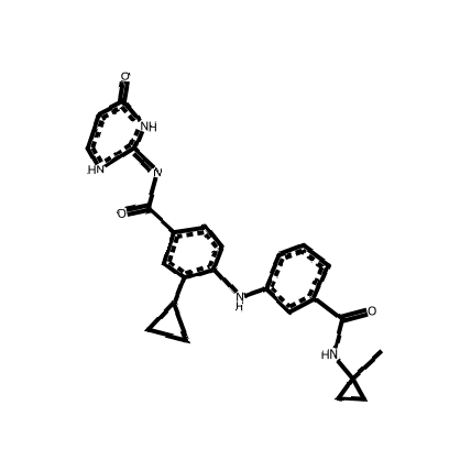 CC1(NC(=O)c2cccc(Nc3ccc(C(=O)/N=c4\[nH]ccc(=O)[nH]4)cc3C3CC3)c2)CC1